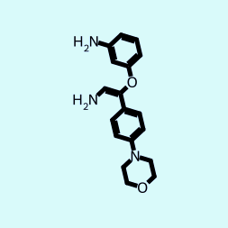 NC=C(Oc1cccc(N)c1)c1ccc(N2CCOCC2)cc1